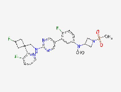 CS(=O)(=O)N1CC(N(C=O)c2ccc(F)c(-c3cnc(NCC4(c5ncccc5F)CC(F)C4)nc3)c2)C1